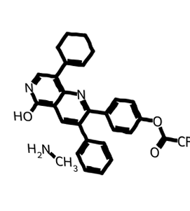 CN.O=C(Oc1ccc(-c2nc3c(C4=CCCCC4)cnc(O)c3cc2-c2ccccc2)cc1)C(F)(F)F